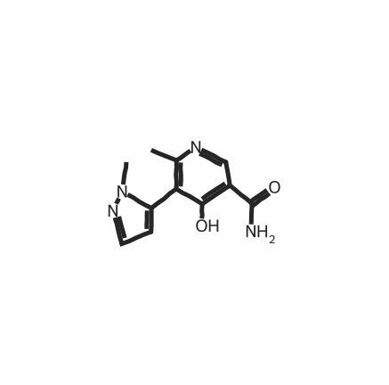 Cc1ncc(C(N)=O)c(O)c1-c1ccnn1C